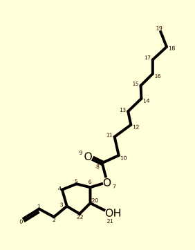 C=CCC1CCC(OC(=O)CCCCCCCCCC)C(O)C1